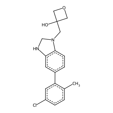 Cc1ccc(Cl)cc1-c1ccc2c(c1)NCN2CC1(O)COC1